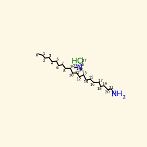 CCCCCCCCCCCCCCCCCCCCCCN.CN(C)C.Cl